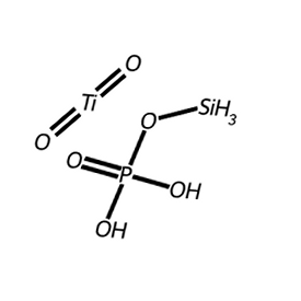 O=P(O)(O)O[SiH3].[O]=[Ti]=[O]